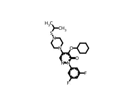 CC(C)SN1CCN(c2cnn(-c3cc(F)cc(F)c3)c(=O)c2OC2CCCCC2)CC1